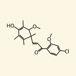 COc1cc(Cl)ccc1C(=O)C=CC1(C)C(C)=C(C)C(O)=C(C)C1OC